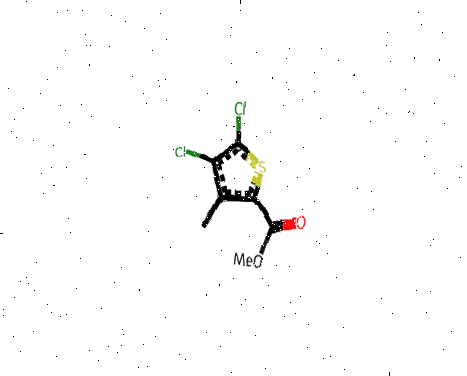 COC(=O)c1sc(Cl)c(Cl)c1C